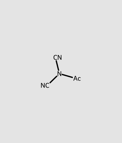 CC(=O)N(C#N)C#N